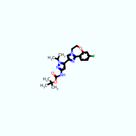 CC(C)n1nc(NC(=O)OC(C)(C)C)cc1-c1cn2c(n1)-c1ccc(F)cc1OCC2